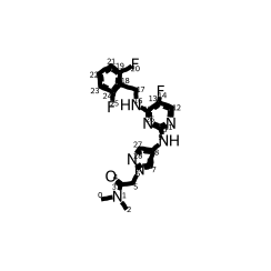 CN(C)C(=O)Cn1cc(Nc2ncc(F)c(NCc3c(F)cccc3F)n2)cn1